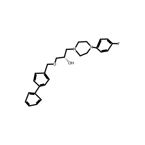 O[C@H](COCc1ccc(-c2ccccc2)cc1)CN1CCN(c2ccc(F)cc2)CC1